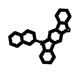 c1ccc2cc(-n3c4ccccc4c4cc5oc6ccccc6c5cc43)ccc2c1